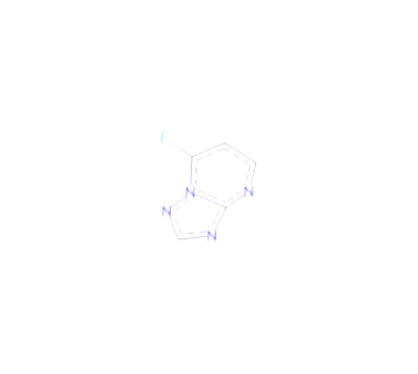 Fc1ccnc2ncnn12